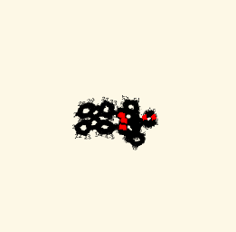 c1ccc(-c2c3ccccc3c(-c3ccc4c(c3)C3(c5ccccc5-4)c4ccccc4-c4ccc(-c5c6ccccc6c(-c6ccccc6)c6ccccc56)cc43)c3ccccc23)cc1